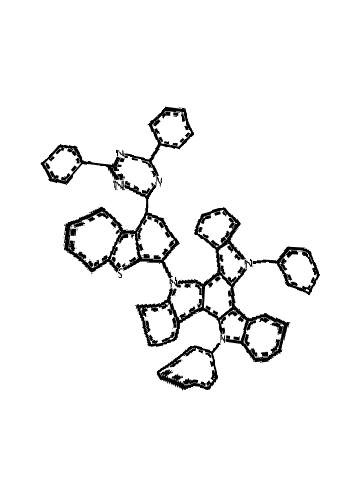 c1ccc(-c2nc(-c3ccccc3)nc(-c3ccc(-n4c5ccccc5c5c6c(c7ccccc7n6-c6ccccc6)c6c(c7ccccc7n6-c6ccccc6)c54)c4sc5ccccc5c34)n2)cc1